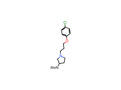 CNC1CCN(CCCOc2ccc(Cl)cc2)C1